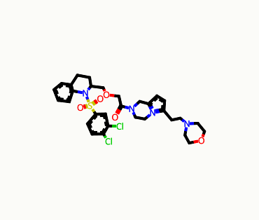 O=C(COCC1CCc2ccccc2N1S(=O)(=O)c1ccc(Cl)c(Cl)c1)N1CCn2c(CCN3CCOCC3)ccc2C1